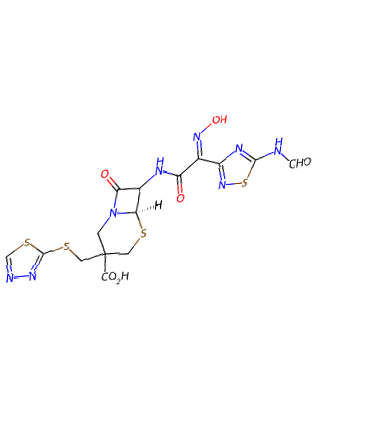 O=CNc1nc(C(=NO)C(=O)NC2C(=O)N3CC(CSc4nncs4)(C(=O)O)CS[C@H]23)ns1